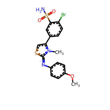 COc1ccc(/N=c2/scc(-c3ccc(Br)c(S(N)(=O)=O)c3)n2C)cc1